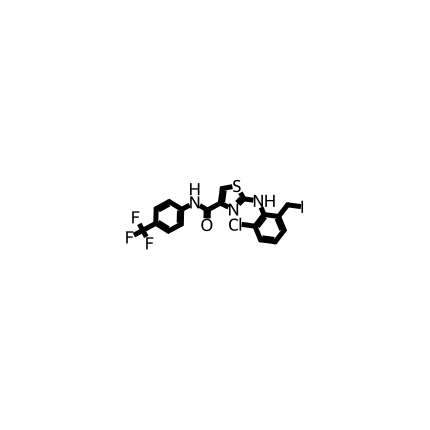 O=C(Nc1ccc(C(F)(F)F)cc1)c1csc(Nc2c(Cl)cccc2CI)n1